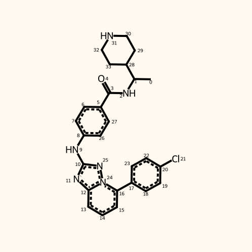 CC(NC(=O)c1ccc(Nc2nc3cccc(-c4ccc(Cl)cc4)n3n2)cc1)C1CCNCC1